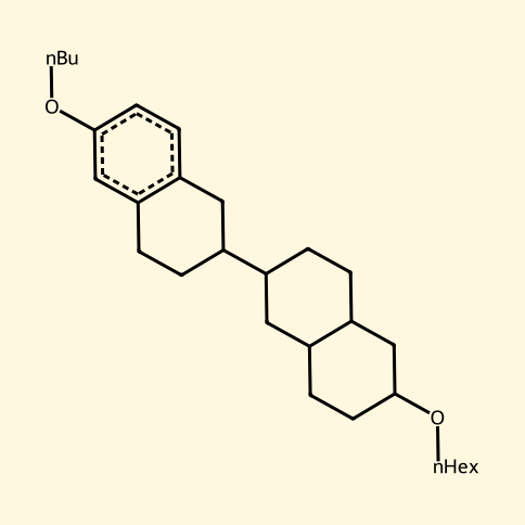 CCCCCCOC1CCC2CC(C3CCc4cc(OCCCC)ccc4C3)CCC2C1